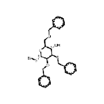 CCS[C@@H]1OC(COCc2ccccc2)[C@H](O)C(OCc2ccccc2)C1OCc1ccccc1